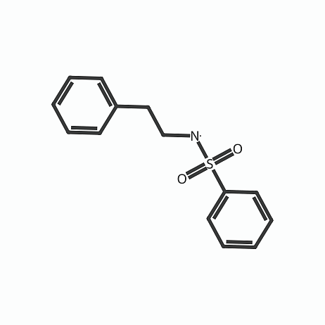 O=S(=O)([N]CCc1ccccc1)c1ccccc1